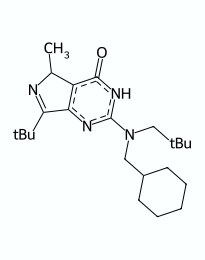 CC1N=C(C(C)(C)C)c2nc(N(CC3CCCCC3)CC(C)(C)C)[nH]c(=O)c21